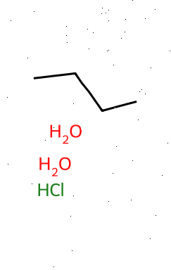 CCCC.Cl.O.O